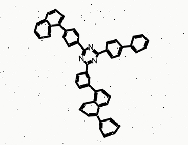 c1ccc(-c2ccc(-c3nc(-c4ccc(-c5cccc6ccccc56)cc4)nc(-c4cccc(-c5cccc6c(-c7ccccc7)cccc56)c4)n3)cc2)cc1